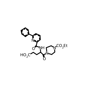 CCOC(=O)N1CCN(C(=O)C(CCC(=O)O)NC(=O)c2cccc(-c3ccccc3)n2)CC1